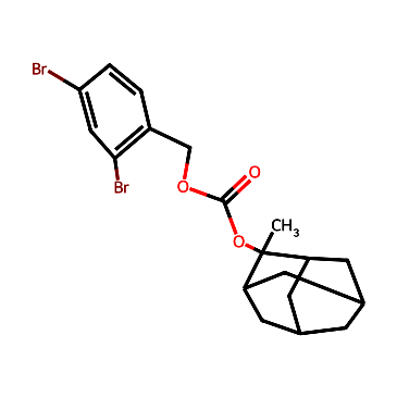 CC1(OC(=O)OCc2ccc(Br)cc2Br)C2CC3CC(C2)CC1C3